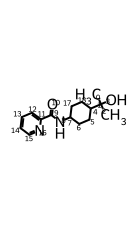 CC(C)(O)C1CCC(NC(=O)c2ccccn2)CC1